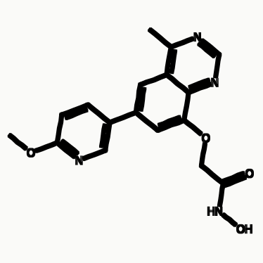 COc1ccc(-c2cc(OCC(=O)NO)c3ncnc(C)c3c2)cn1